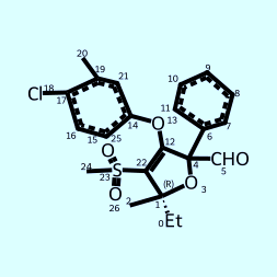 CC[C@@]1(C)OC(C=O)(c2ccccc2)C(Oc2ccc(Cl)c(C)c2)=C1S(C)(=O)=O